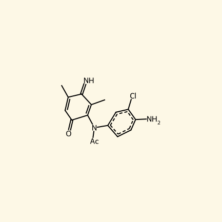 CC(=O)N(C1=C(C)C(=N)C(C)=CC1=O)c1ccc(N)c(Cl)c1